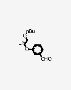 CCCCOC[C@@H](C)Oc1cccc(C=O)c1